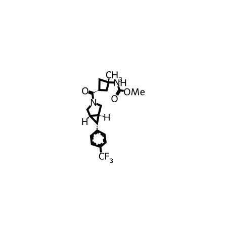 COC(=O)N[C@]1(C)C[C@H](C(=O)N2C[C@@H]3[C@H](C2)[C@H]3c2ccc(C(F)(F)F)cc2)C1